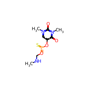 CNCO[PH](=S)Oc1cn(C)c(=O)n(C)c1=O